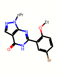 CCCn1ncc2c(=O)[nH]c(-c3cc(Br)ccc3OCC)nc21